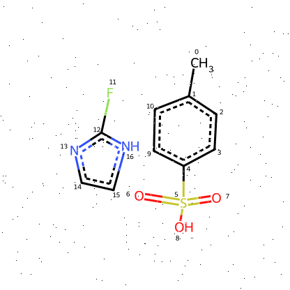 Cc1ccc(S(=O)(=O)O)cc1.Fc1ncc[nH]1